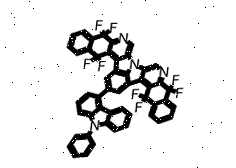 FC1(F)c2ccccc2C(F)(F)c2c1ncc1c2c2cc(-c3cccc4c3c3ccccc3n4-c3ccccc3)cc3c4c5c(ncc4n1c23)C(F)(F)c1ccccc1C5(F)F